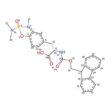 CN(C)P(=O)(Oc1ccc(C[C@H](NC(=O)OCC2c3ccccc3-c3ccccc32)C(=O)O)cc1)N(C)C